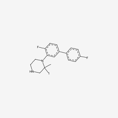 CC1(I)CNCCN1c1cc(-c2ccc(F)cc2)ccc1F